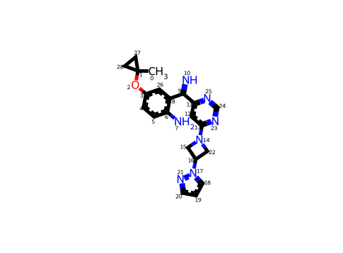 CC1(Oc2ccc(N)c(C(=N)c3cc(N4CC(n5cccn5)C4)ncn3)c2)CC1